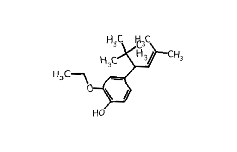 CCOc1cc(C(C=C(C)C)C(C)(C)C)ccc1O